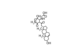 C[C@]12CC[C@H](O)CC1=CCC1C2CC[C@@]2(C)C1CC[C@@H]2CC(=O)C(C(N)=O)C(NCC(=O)O)C(=O)O